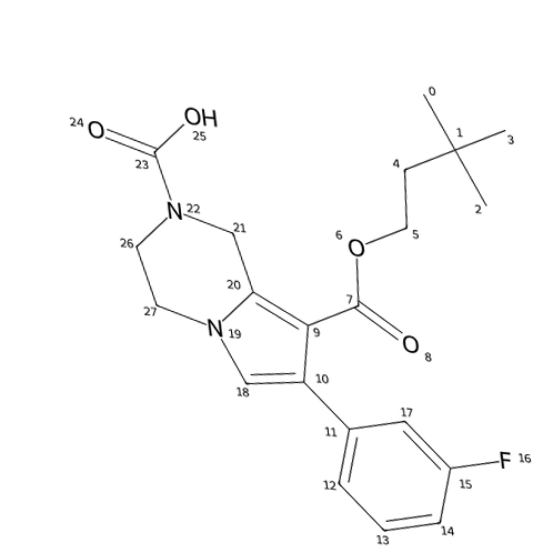 CC(C)(C)CCOC(=O)c1c(-c2cccc(F)c2)cn2c1CN(C(=O)O)CC2